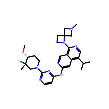 CO[C@@H]1CCN(c2nccc(Nc3cc4c(C(C)C)cnc(N5CCC56CN(C)C6)c4cn3)n2)C[C@]1(C)F